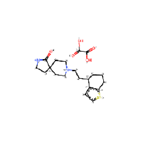 O=C(O)C(=O)O.O=C1NCCC12CCN(CCC1CCCc3sccc31)CC2